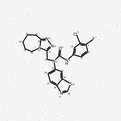 O=C(Nc1ccc(F)c(Cl)c1)N(Cc1nnc2n1CCCCC2)c1ccc2ncsc2c1